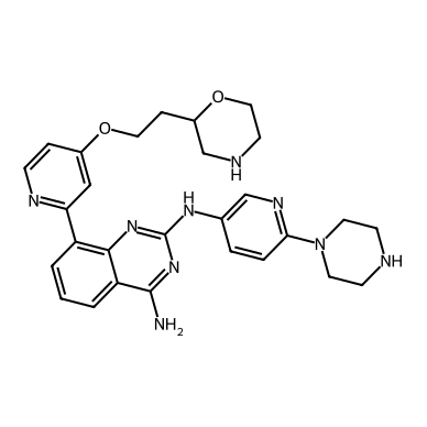 Nc1nc(Nc2ccc(N3CCNCC3)nc2)nc2c(-c3cc(OCCC4CNCCO4)ccn3)cccc12